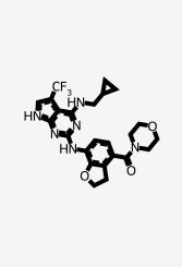 O=C(c1ccc(Nc2nc(NCC3CC3)c3c(C(F)(F)F)c[nH]c3n2)c2c1CCO2)N1CCOCC1